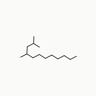 [CH2]C(CCCCCCCC)CC(C)C